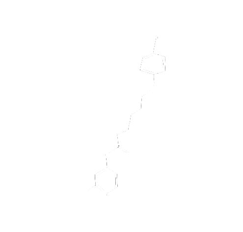 Cc1cc(NC(=O)CCCCCOc2ccc(Br)cc2)ccn1